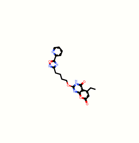 CCc1cc(=O)oc2nc(OCCCCc3noc(-c4ccccn4)n3)[nH]c(=O)c12